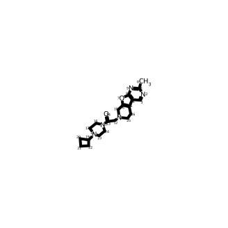 Cc1ncc2c3c(oc2n1)CN(CC(=O)N1CCN(C2CCC2)CC1)CC3